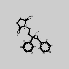 O=C1CCC(=O)N1CCC1(c2ccccc2)OC1c1ccccc1